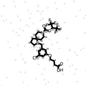 O=C(O)CCCOc1cc(Cl)cc(CN2CCCC23CCN(C(=O)OC(C(F)(F)F)C(F)(F)F)CC3)c1